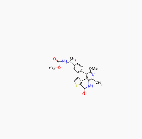 COc1nc(C)c2[nH]c(=O)c3sccc3c2c1-c1ccc(C(C)CNC(=O)OC(C)(C)C)cc1